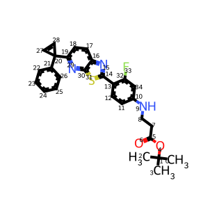 CC(C)(C)OC(=O)CCNc1ccc(-c2nc3ccc(C4(c5ccccc5)C=C4)nc3s2)c(F)c1